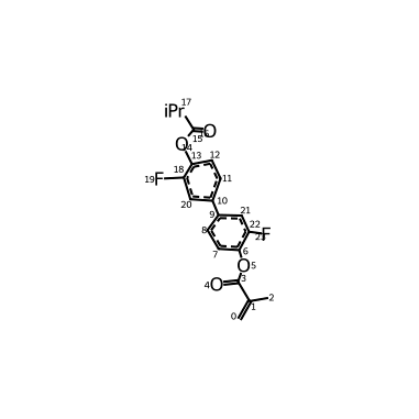 C=C(C)C(=O)Oc1ccc(-c2ccc(OC(=O)C(C)C)c(F)c2)cc1F